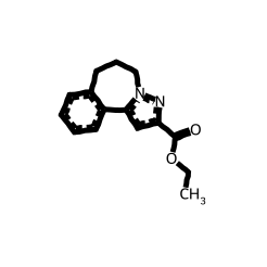 CCOC(=O)c1cc2n(n1)CCCc1ccccc1-2